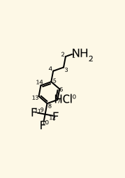 Cl.NCCCc1ccc(C(F)(F)F)cc1